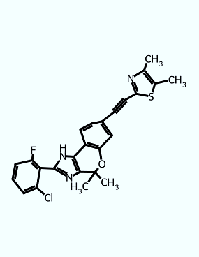 Cc1nc(C#Cc2ccc3c(c2)OC(C)(C)c2nc(-c4c(F)cccc4Cl)[nH]c2-3)sc1C